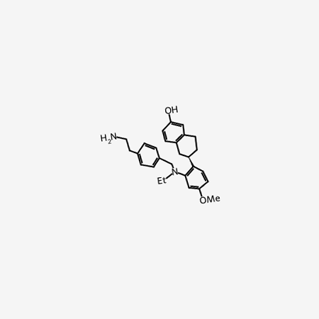 CCN(Cc1ccc(CCN)cc1)c1cc(OC)ccc1[C@@H]1CCc2cc(O)ccc2C1